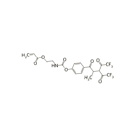 C=CC(=O)OCCNC(=O)Oc1ccc(C(=O)C(C)C(C(=O)C(F)(F)F)C(=O)C(F)(F)F)cc1